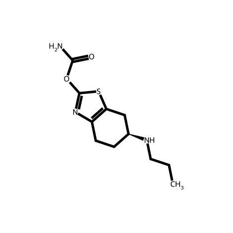 CCCN[C@H]1CCc2nc(OC(N)=O)sc2C1